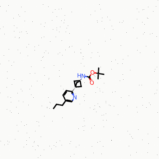 CCCc1ccc([C@]23C[C@](NC(=O)OC(C)(C)C)(C2)C3)nc1